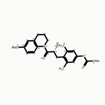 COC(=O)Oc1cc(C)c(C[C@@H](N)C(=O)N2CCCc3cc(OC)ccc32)c(C)c1